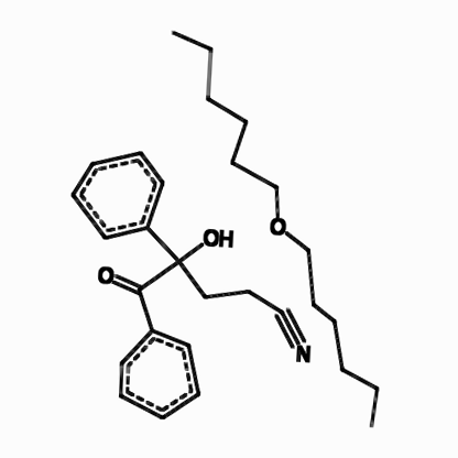 CCCCCCOCCCCCC.N#CCCC(O)(C(=O)c1ccccc1)c1ccccc1